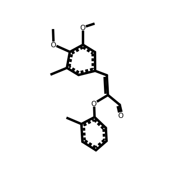 COc1cc(/C=C(/C=O)Oc2ccccc2C)cc(C)c1OC